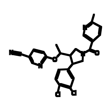 Cc1ccc(C(=O)N2CC(c3ccc(Cl)c(Cl)c3)C(C(C)Oc3ccc(C#N)cn3)C2)cn1